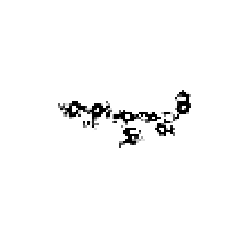 CC(C)c1ccccc1[C@@H]1CN(Cc2ccc3c(c2)OCC3)CCN1C1CC2(CCN(c3ccc(C(=O)NS(=O)(=O)c4ccc(NCC5CCC(C)(O)CC5)c([N+](=O)[O-])c4)c(Oc4cnc5[nH]cc(F)c5c4)c3)CC2)C1